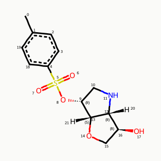 Cc1ccc(S(=O)(=O)O[C@@H]2CN[C@H]3[C@@H]2OC[C@@H]3O)cc1